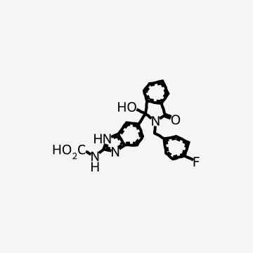 O=C(O)Nc1nc2ccc(C3(O)c4ccccc4C(=O)N3Cc3ccc(F)cc3)cc2[nH]1